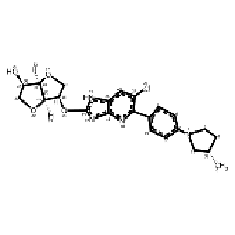 C[C@H]1CCN(c2ccc(-c3nc4nc(O[C@@H]5CO[C@H]6[C@@H]5OC[C@H]6O)[nH]c4cc3Cl)cc2)C1